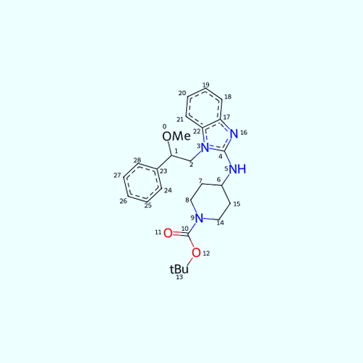 COC(Cn1c(NC2CCN(C(=O)OC(C)(C)C)CC2)nc2ccccc21)c1ccccc1